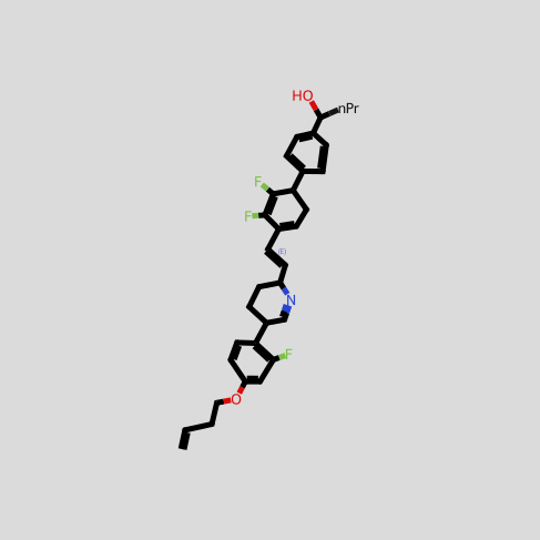 C=CCCOc1ccc(C2C=NC(/C=C/C3=CCC(c4ccc(C(O)CCC)cc4)C(F)=C3F)CC2)c(F)c1